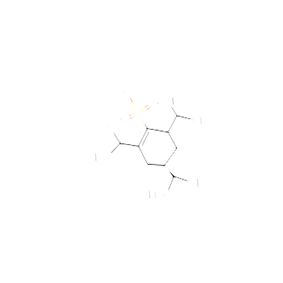 CC(C)C1=C(S(=O)(=O)O)C(C(C)C)C[C@@H](C(C)C)C1